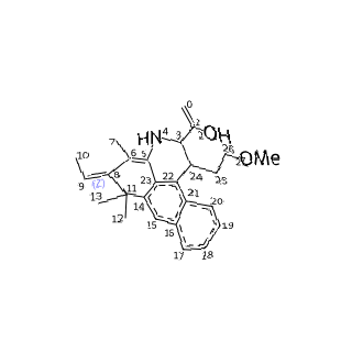 C=C(O)C1NC2=C(C)/C(=C\C)C(C)(C)c3cc4ccccc4c(c32)C1CCOC